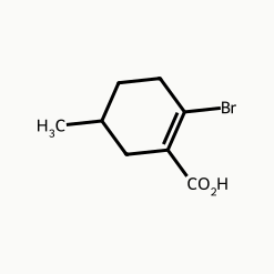 CC1CCC(Br)=C(C(=O)O)C1